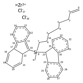 C=CCCCCCC[Si](C)(C1=c2ccccc2=C2C=CC=CC21)C1c2ccccc2-c2ccccc21.[Cl-].[Cl-].[Zr+2]